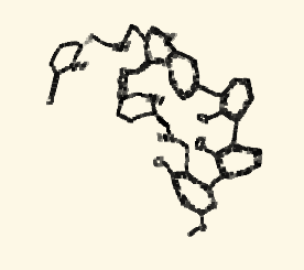 COc1cc(Cl)c(CNC[C@H]2CCC(=O)N2)c(-c2cccc(-c3cccc(-c4ccn5c(=O)c(CNC[C@H]6CCC(=O)N6)cnc5c4)c3Cl)c2Cl)n1